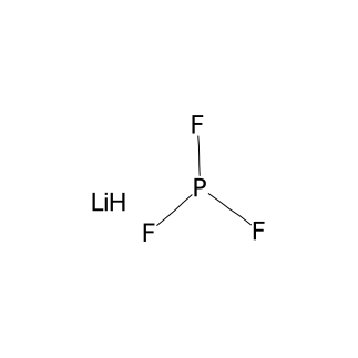 FP(F)F.[LiH]